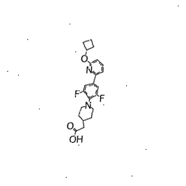 O=C(O)CC1CCN(c2c(F)cc(-c3cccc(OC4CCC4)n3)cc2F)CC1